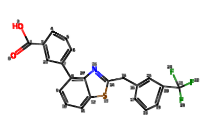 O=C(O)c1cccc(-c2cccc3sc(Cc4cccc(C(F)(F)F)c4)nc23)c1